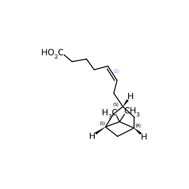 CC1(C)[C@@H]2C[C@@H](C/C=C\CCCC(=O)O)C[C@H]1C2